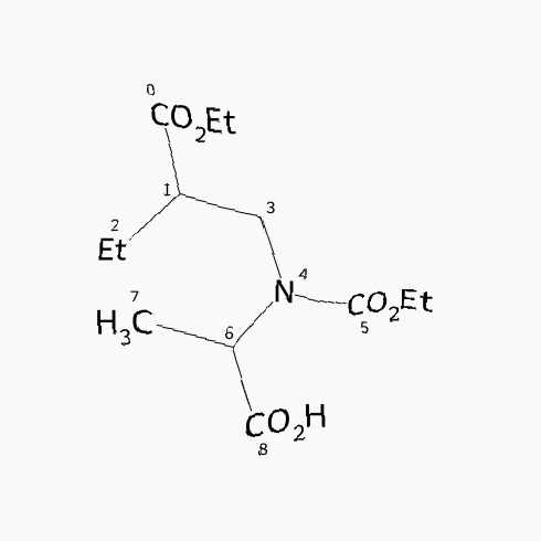 CCOC(=O)C(CC)CN(C(=O)OCC)C(C)C(=O)O